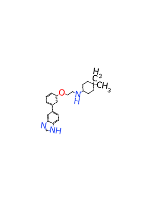 CC1(C)CCC(NCCOc2cccc(-c3ccc4[nH]cnc4c3)c2)CC1